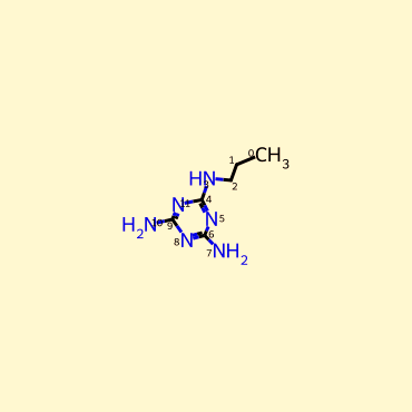 CCCNc1nc(N)nc(N)n1